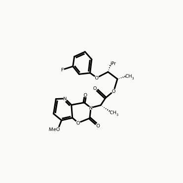 COc1ccnc2c(=O)n([C@@H](C)C(=O)O[C@@H](C)[C@H](Oc3cccc(F)c3)C(C)C)c(=O)oc12